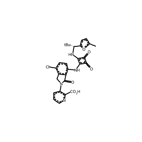 Cc1ccc([C@H](Nc2c(Nc3ccc(Cl)c4c3C(=O)N(c3cccnc3C(=O)O)C4)c(=O)c2=O)C(C)(C)C)o1